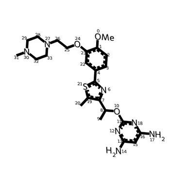 COc1ccc(-c2nc(C(C)Oc3nc(N)cc(N)n3)c(C)s2)cc1OCCN1CCN(C)CC1